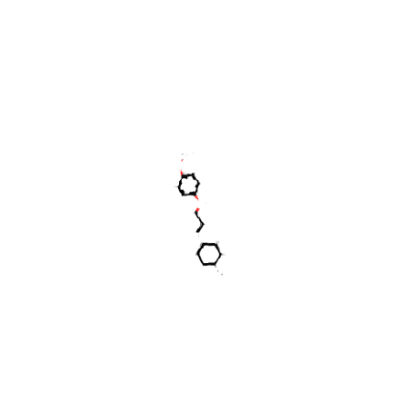 CCCCCCCCOc1ccc(OCCC[C@H]2CC[C@H](CCC)CC2)cc1